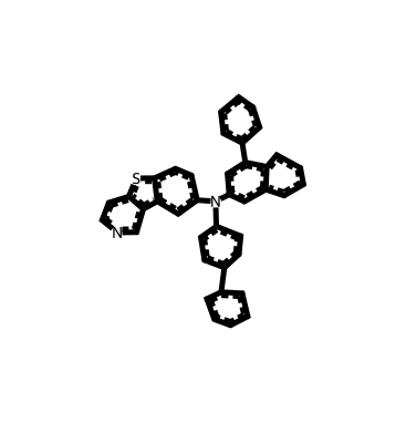 c1ccc(-c2ccc(N(c3cc(-c4ccccc4)c4ccccc4c3)c3ccc4sc5ccncc5c4c3)cc2)cc1